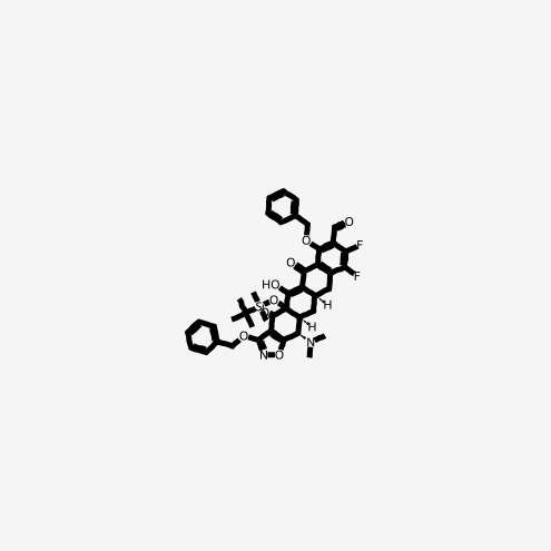 CN(C)[C@@H]1c2onc(OCc3ccccc3)c2C(=O)C2(O[Si](C)(C)C(C)(C)C)C(O)=C3C(=O)c4c(c(F)c(F)c(C=O)c4OCc4ccccc4)C[C@H]3C[C@@H]12